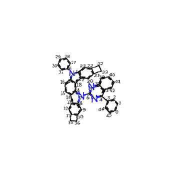 c1ccc(-c2nc(-n3c4cc5c(cc4c4ccc6c(c7cc8c(cc7n6-c6ccccc6)CC8)c43)CC5)nc3ccccc23)cc1